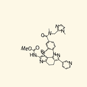 COC(=O)Nc1nc2c(s1)-c1c(c(-c3cccnc3)nn1-c1ccc(C(=O)N(C)Cc3nccn3C)cc1Br)CC2